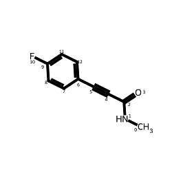 CNC(=O)C#Cc1ccc(F)cc1